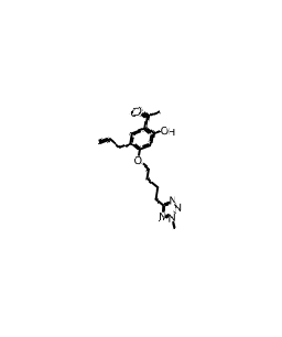 C=CCc1cc(C(C)=O)c(O)cc1OCCCCc1nnn(C)n1